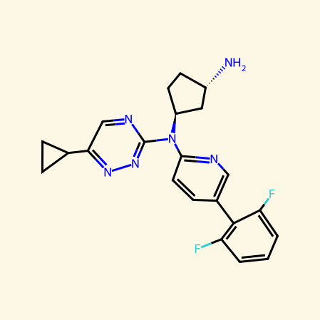 N[C@H]1CC[C@H](N(c2ccc(-c3c(F)cccc3F)cn2)c2ncc(C3CC3)nn2)C1